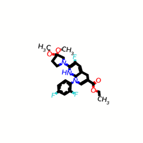 CCOC(=O)C1=CN(c2ccc(F)cc2F)C2NC(N3CCC(OC)(OC)C3)=C(F)C=C2C1